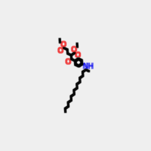 CCCCCCCCCCCCCCC(C)Nc1ccc(C(=O)C(CCC(=O)OCC)C(=O)OCC)cc1